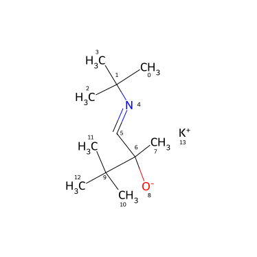 CC(C)(C)/N=C/C(C)([O-])C(C)(C)C.[K+]